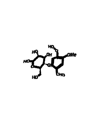 COc1cc(C=O)ccc1OO.OC[C@H]1OC(O)[C@H](O)[C@@H](O)[C@@H]1O